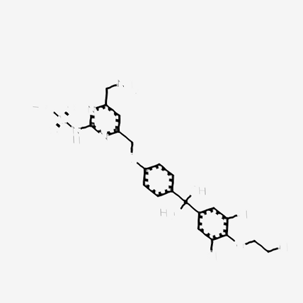 CC(C)(c1ccc(OCc2cc(CN)nc(NS(C)(=O)=O)n2)cc1)c1cc(Cl)c(OCCCl)c(Cl)c1